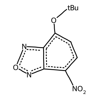 CC(C)(C)Oc1ccc([N+](=O)[O-])c2nonc12